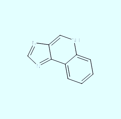 c1ccc2c3ncnc-3c[nH]c2c1